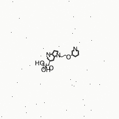 O=C(c1cnc2ccn(CCOc3cccnc3)c2c1)N(O)O